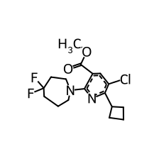 COC(=O)c1cc(Cl)c(C2CCC2)nc1N1CCCC(F)(F)CC1